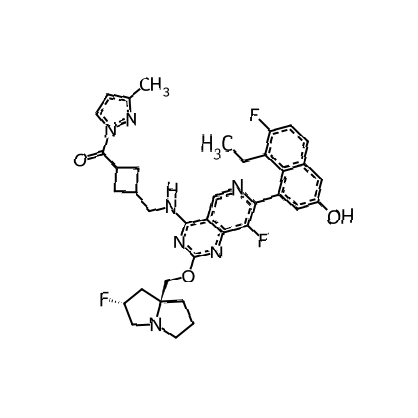 CCc1c(F)ccc2cc(O)cc(-c3ncc4c(NCC5CC(C(=O)n6ccc(C)n6)C5)nc(OC[C@@]56CCCN5C[C@H](F)C6)nc4c3F)c12